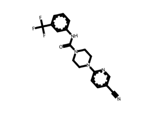 N#Cc1ccc(N2CCN(C(=O)Nc3cccc(C(F)(F)F)c3)CC2)nc1